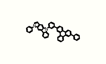 c1ccc(-c2ccc3c4ccc(-c5cccc(-n6c7ccccc7c7cc8c(ccn8-c8ccccc8)cc76)c5)cc4c4ccccc4c3c2)cc1